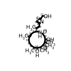 C/C1=C/C[C@@H](/C(C)=C/c2csc(CO)n2)NC(=O)CC(O)C(C)(C)C(=O)C(C)[C@@H](O)C(C)CCC1